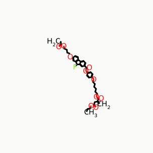 C=CC(=O)OCCCCOc1ccc2c(c1)C(F)c1cc(C(=O)Oc3ccc(OCCCCCCOC(=O)C(=C)CC(=O)OCCC)cc3)ccc1-2